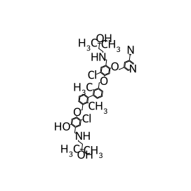 Cc1c(COc2cc(O)c(CNCCC(C)(C)O)cc2Cl)cccc1-c1cccc(COc2cc(OCc3cncc(C#N)c3)c(CNCCC(C)(C)O)cc2Cl)c1C